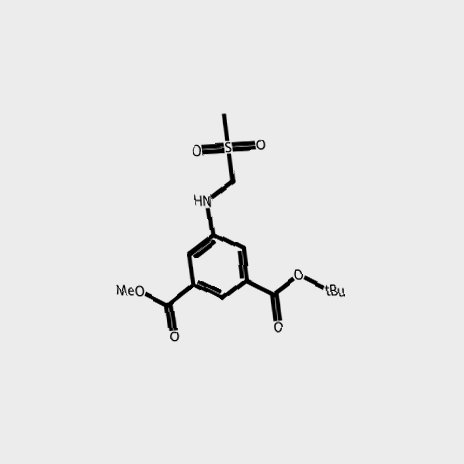 COC(=O)c1cc(NCS(C)(=O)=O)cc(C(=O)OC(C)(C)C)c1